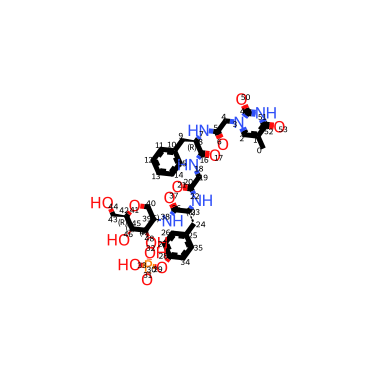 Cc1cn(CC(=O)N[C@H](Cc2ccccc2)C(=O)NCC(=O)N[C@H](Cc2ccc(OP(=O)(O)O)cc2)C(=O)N[C@H]2CO[C@H](CO)[C@@H](O)[C@@H]2O)c(=O)[nH]c1=O